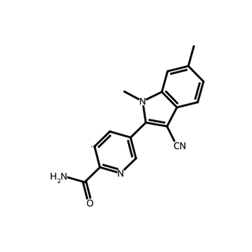 Cc1ccc2c(C#N)c(-c3c[c]c(C(N)=O)nc3)n(C)c2c1